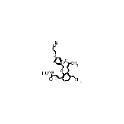 CCc1ccc(/C=C/C(=O)NO)c(OCc2ccc(OCN=[N+]=[N-])cc2)c1CC=C(C)C